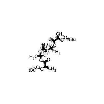 C=C(OOC(C)(C)C)C(=O)OC(C)(C)OC(=O)OC(C)(C)OC(=O)C(=C)OOC(C)(C)C